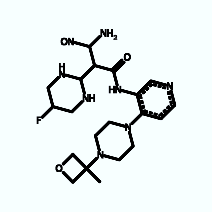 CC1(N2CCN(c3ccncc3NC(=O)C(C(N)N=O)C3NCC(F)CN3)CC2)COC1